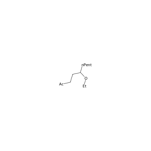 CCCCCC(CCC(C)=O)OCC